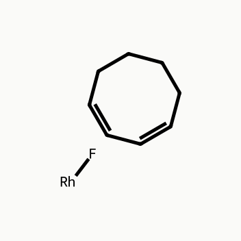 C1=C\CCCC\C=C/1.[F][Rh]